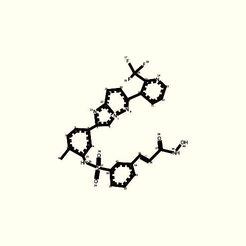 Cc1ccc(-c2cn3nc(-c4cccnc4C(F)(F)F)ccc3n2)cc1NS(=O)(=O)c1cccc(/C=C/C(=O)NO)c1